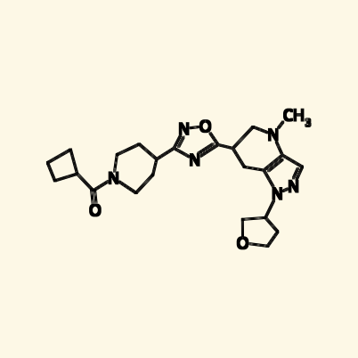 CN1CC(c2nc(C3CCN(C(=O)C4CCC4)CC3)no2)Cc2c1cnn2C1CCOC1